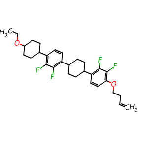 C=CCCOc1ccc(C2CCC(c3ccc(C4CCC(OCC)CC4)c(F)c3F)CC2)c(F)c1F